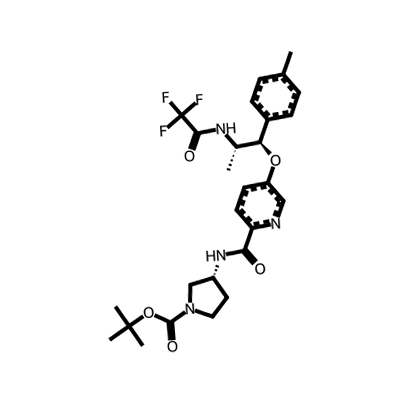 Cc1ccc([C@@H](Oc2ccc(C(=O)N[C@@H]3CCN(C(=O)OC(C)(C)C)C3)nc2)[C@H](C)NC(=O)C(F)(F)F)cc1